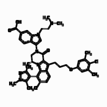 Cc1cc(OCCCc2c3n(c4c(-c5c(C)nn(C)c5C)c(Cl)ccc24)[C@H](C)CN(c2cn(CCN(C)C)c4cc(C(=O)O)ccc24)C3=O)cc(C)c1Cl